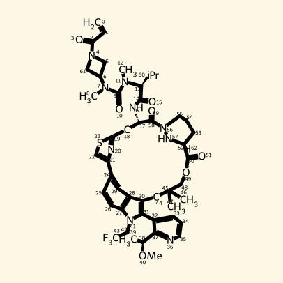 C=CC(=O)N1CC(N(C)C(=O)N(C)[C@H](C(=O)N[C@H]2Cc3nc(cs3)-c3ccc4c(c3)c(c(-c3cccnc3[C@H](C)OC)n4CC(F)(F)F)CC(C)(C)COC(=O)[C@@H]3CCCN(N3)C2=O)C(C)C)C1